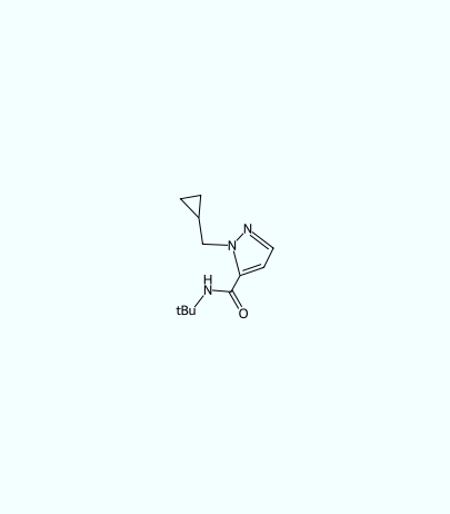 CC(C)(C)NC(=O)c1ccnn1CC1CC1